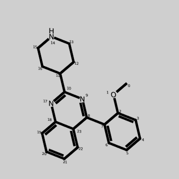 COc1ccccc1-c1nc(C2CCNCC2)nc2ccccc12